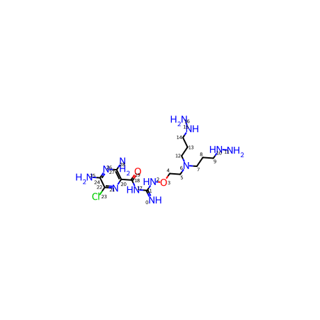 N=C(NOCCN(CCCNN)CCCNN)NC(=O)c1nc(Cl)c(N)nc1N